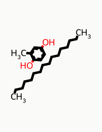 CCCCCCCCCCCCCCCC.Cc1cc(O)ccc1O